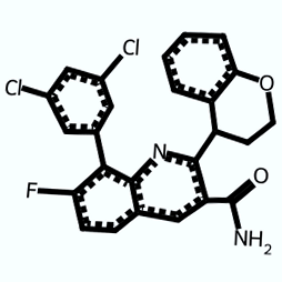 NC(=O)c1cc2ccc(F)c(-c3cc(Cl)cc(Cl)c3)c2nc1C1CCOc2ccccc21